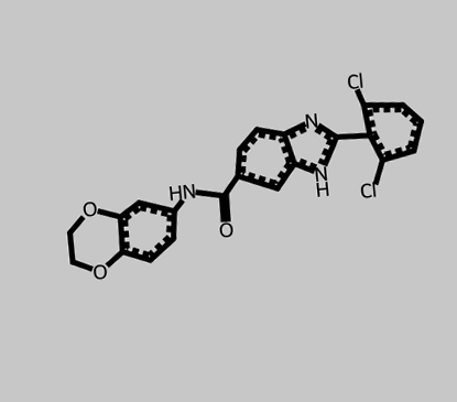 O=C(Nc1ccc2c(c1)OCCO2)c1ccc2nc(-c3c(Cl)cccc3Cl)[nH]c2c1